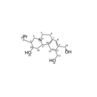 CC(C)CC1CN2CCc3cc(CO)c(CO)cc3C2CC1O